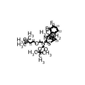 CC(C)(C)OC(=O)N(COCC[Si](C)(C)C)C1=N[C@](C)(c2cccc(F)c2F)C2C[C@]2(C(N)=O)S1